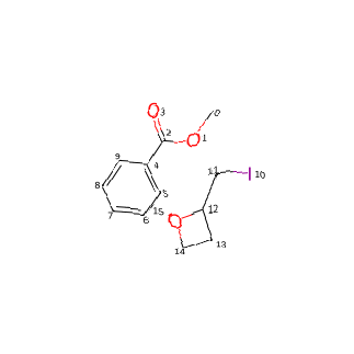 COC(=O)c1ccccc1.ICC1CCO1